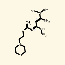 C=C(/N=C(\C=C(/N)N(CCC)CCC)NN)OCCN1CCOCC1